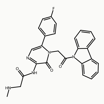 CNCC(=O)Nc1ncc(-c2ccc(F)cc2)n(CC(=O)n2c3ccccc3c3ccccc32)c1=O